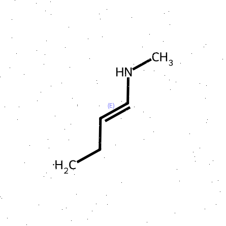 [CH2]C/C=C/NC